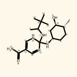 CC(NC1(N[C@@H]2CC[C@@H](C)[C@H](O)C2)N=CC(C(N)=O)=CN1)C(C)(C)C